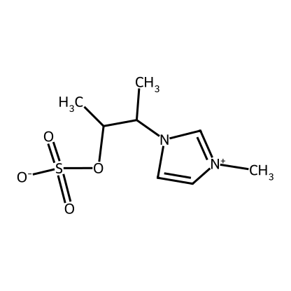 CC(OS(=O)(=O)[O-])C(C)n1cc[n+](C)c1